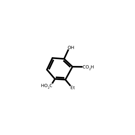 CCc1c(C(=O)O)ccc(O)c1C(=O)O